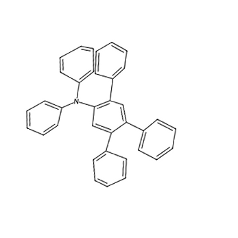 c1ccc(-c2cc(-c3ccccc3)c(N(c3ccccc3)c3ccccc3)cc2-c2ccccc2)cc1